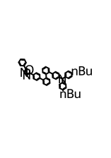 CCCCc1ccc(N(c2ccc(CCCC)cc2)c2ccc(-c3ccccc3-c3ccccc3-c3ccc(-c4nnc(-c5ccccc5)o4)cc3)cc2)cc1